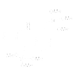 CO[Si](Cc1ccccc1Nc1ccccc1C[Si](OC)(OC)OC)(OC)OC